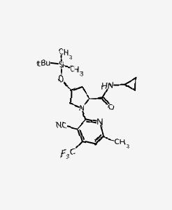 Cc1cc(C(F)(F)F)c(C#N)c(N2C[C@@H](O[Si](C)(C)C(C)(C)C)C[C@H]2C(=O)NC2CC2)n1